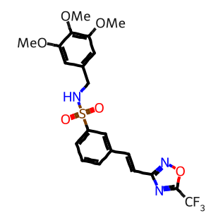 COc1cc(CNS(=O)(=O)c2cccc(/C=C/c3noc(C(F)(F)F)n3)c2)cc(OC)c1OC